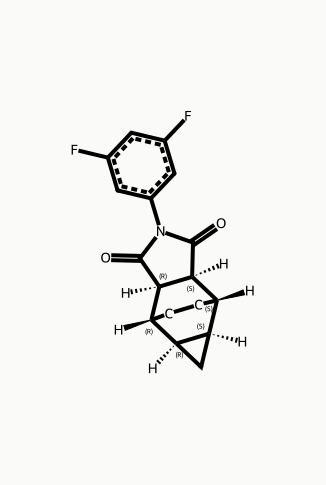 O=C1[C@@H]2[C@@H]3CC[C@@H]([C@H]4C[C@H]43)[C@@H]2C(=O)N1c1cc(F)cc(F)c1